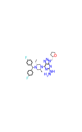 CC[C@@H]1CN(c2nc(NN)nc3c2nnn3C[C@@H]2CCCO2)[C@@H](C)CN1C(c1ccc(F)cc1)c1ccc(F)cc1